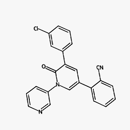 N#Cc1ccccc1-c1cc(-c2cccc(Cl)c2)c(=O)n(-c2cccnc2)c1